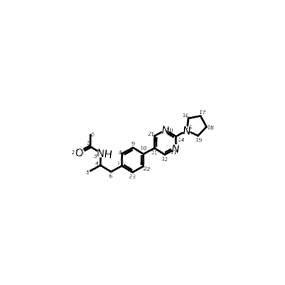 CC(=O)NC(C)Cc1ccc(-c2cnc(N3CCCC3)nc2)cc1